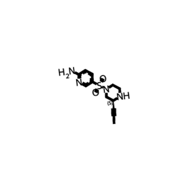 CC#C[C@H]1CN(S(=O)(=O)c2ccc(N)nc2)CCN1